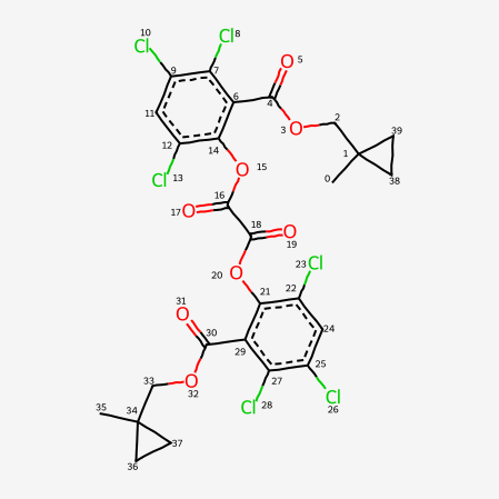 CC1(COC(=O)c2c(Cl)c(Cl)cc(Cl)c2OC(=O)C(=O)Oc2c(Cl)cc(Cl)c(Cl)c2C(=O)OCC2(C)CC2)CC1